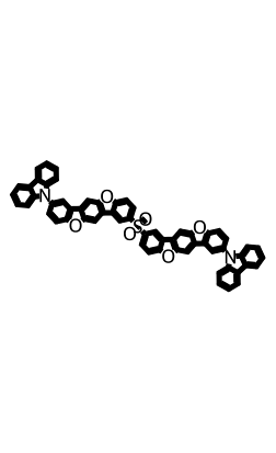 O=S(=O)(c1ccc2oc3cc4c(cc3c2c1)oc1ccc(-n2c3ccccc3c3ccccc32)cc14)c1ccc2oc3cc4c(cc3c2c1)oc1ccc(-n2c3ccccc3c3ccccc32)cc14